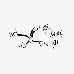 N.O=P(O)(O)O.[KH].[MgH2]